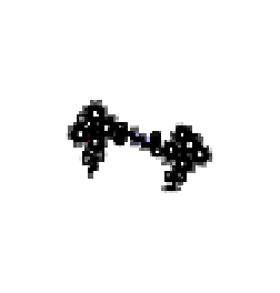 C=CC(=O)Oc1ccc(C2(c3ccc(OC(=O)/C=C/C=C/C(=O)Oc4ccc(C5(c6ccc(OC(=O)C=C)cc6)c6ccccc6Sc6ccccc65)cc4)cc3)c3ccccc3Oc3ccccc32)cc1